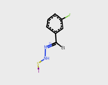 CC/C(=N\NSI)c1cccc(F)c1